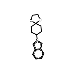 c1ccc2cn(C3CCC4(CC3)OCCO4)cc2c1